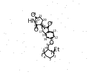 CCN1CCCC(C)(C)C1COc1ccc2c(c1)CN(C1CCC(=O)NC1=O)C2=O